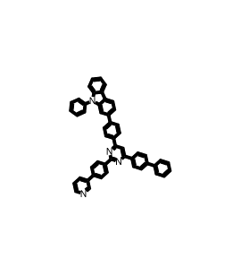 c1ccc(-c2ccc(-c3cc(-c4ccc(-c5ccc6c7ccccc7n(-c7ccccc7)c6c5)cc4)nc(-c4ccc(-c5cccnc5)cc4)n3)cc2)cc1